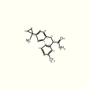 N#CC1(c2ccc(CC(C(N)=O)c3cccc(C(F)(F)F)c3)cc2)CC1